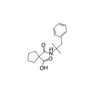 CC(C)(Cc1ccccc1)NC(=O)C1(C(=O)O)CCCC1